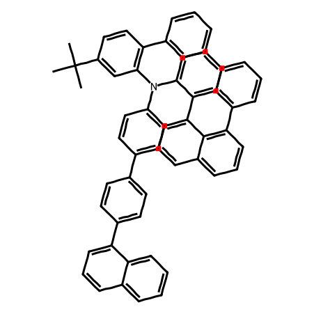 CC(C)(C)c1ccc(-c2ccccc2)c(N(c2ccc(-c3ccc(-c4cccc5ccccc45)cc3)cc2)c2ccccc2-c2cccc3cccc(-c4ccccc4)c23)c1